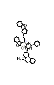 Cc1oc2ccccc2c1/C(=C\Cc1ccc2oc3ccccc3c2c1)c1nc(C2=CCC3(C)C=Cc4ccccc4C3=C2)nc(-c2ccccc2)n1